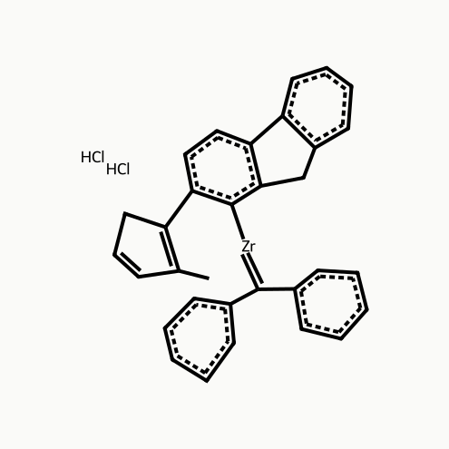 CC1=C(c2ccc3c([c]2[Zr]=[C](c2ccccc2)c2ccccc2)Cc2ccccc2-3)CC=C1.Cl.Cl